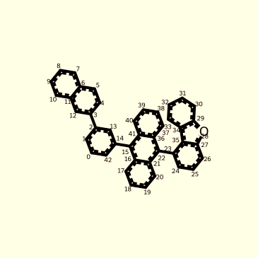 c1cc(-c2ccc3ccccc3c2)cc(-c2c3ccccc3c(-c3cccc4oc5ccccc5c34)c3ccccc23)c1